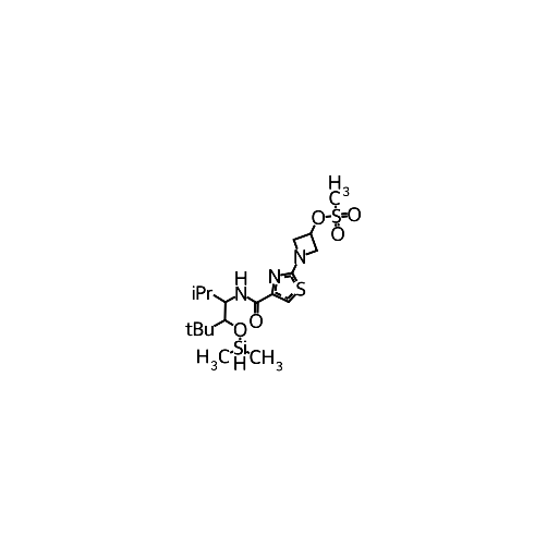 CC(C)C(NC(=O)c1csc(N2CC(OS(C)(=O)=O)C2)n1)C(O[SiH](C)C)C(C)(C)C